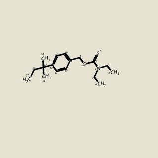 CCN(CC)C(=S)SCc1ccc(C(C)(C)CC)cc1